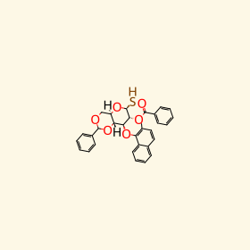 Cc1ccc2ccccc2c1O[C@@H]1[C@@H](OC(=O)c2ccccc2)[C@H](S)O[C@@H]2COC(c3ccccc3)O[C@@H]12